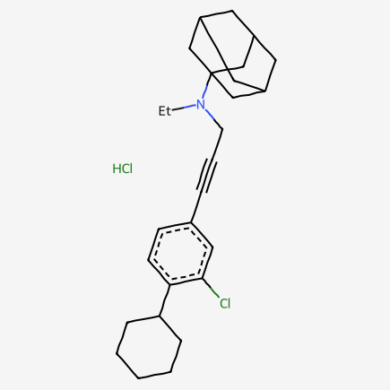 CCN(CC#Cc1ccc(C2CCCCC2)c(Cl)c1)C12CC3CC(CC(C3)C1)C2.Cl